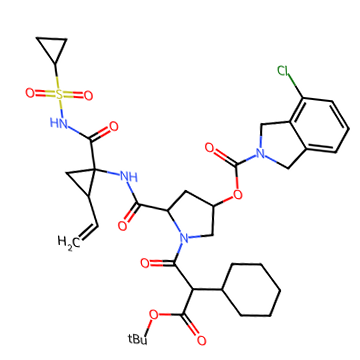 C=CC1CC1(NC(=O)C1CC(OC(=O)N2Cc3cccc(Cl)c3C2)CN1C(=O)C(C(=O)OC(C)(C)C)C1CCCCC1)C(=O)NS(=O)(=O)C1CC1